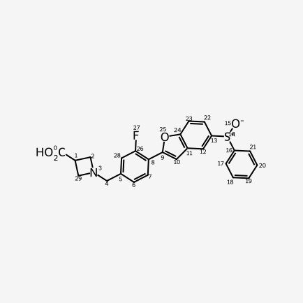 O=C(O)C1CN(Cc2ccc(-c3cc4cc([S+]([O-])c5ccccc5)ccc4o3)c(F)c2)C1